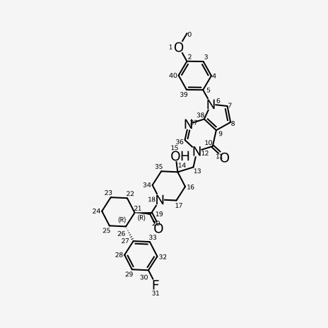 COc1ccc(-n2ccc3c(=O)n(CC4(O)CCN(C(=O)[C@@H]5CCCC[C@H]5c5ccc(F)cc5)CC4)cnc32)cc1